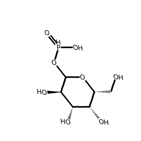 O=[PH](O)OC1O[C@H](CO)[C@H](O)[C@H](O)[C@H]1O